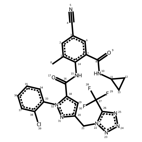 Cc1cc(C#N)cc(C(=O)NC2CC2)c1NC(=O)c1cc(Cn2nnnc2C(F)(F)F)nn1-c1ccccc1Cl